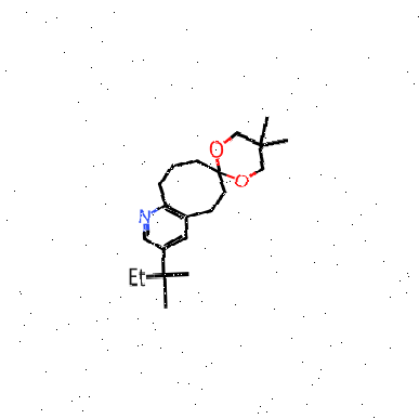 CCC(C)(C)c1cnc2c(c1)CCC1(CCC2)OCC(C)(C)CO1